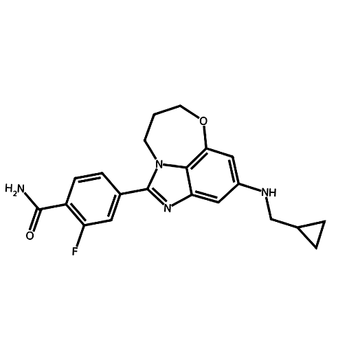 NC(=O)c1ccc(-c2nc3cc(NCC4CC4)cc4c3n2CCCO4)cc1F